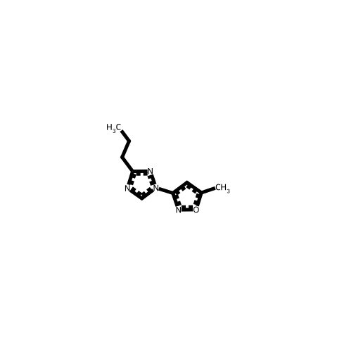 CCCc1ncn(-c2cc(C)on2)n1